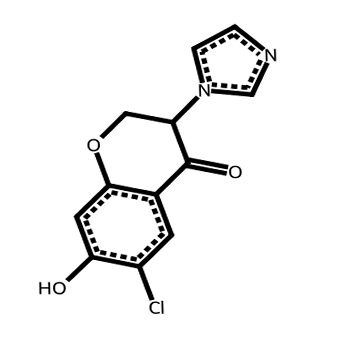 O=C1c2cc(Cl)c(O)cc2OCC1n1ccnc1